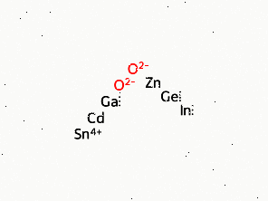 [Cd].[Ga].[Ge].[In].[O-2].[O-2].[Sn+4].[Zn]